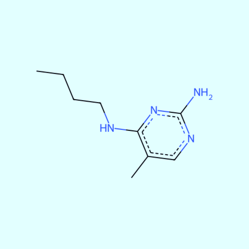 CCCCNc1nc(N)ncc1C